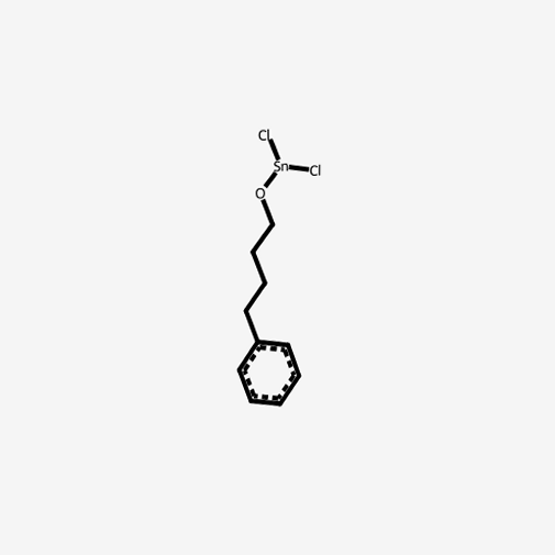 [Cl][Sn]([Cl])[O]CCCCc1ccccc1